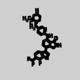 CC1(C)CNCCN1Cc1ccc(Nc2ccc(-c3cnc4c(F)c(C(F)F)ccn34)c3c2C(=O)NC3)nc1